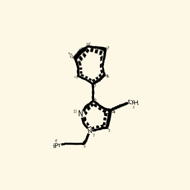 CC(C)Cn1cc(O)c(-c2ccccc2)n1